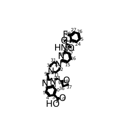 O=C(O)c1ccc2nc(CN3CCN(c4cccc(NS(=O)(=O)c5ccccc5F)n4)CC3)n(C[C@@H]3CCO3)c2c1